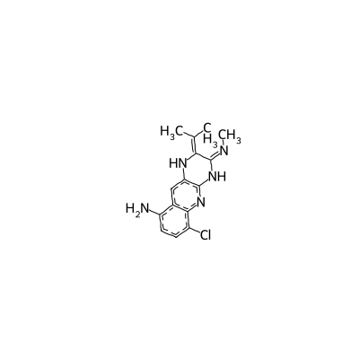 C/N=C1/Nc2nc3c(Cl)ccc(N)c3cc2NC1=C(C)C